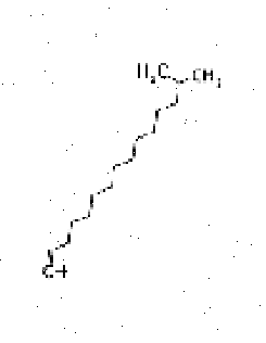 [CH]=CCCCCCCCCCCCC(C)C